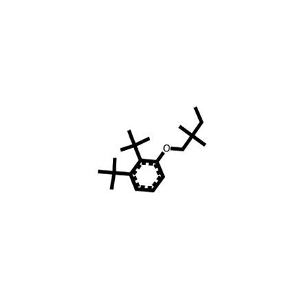 CCC(C)(C)COc1cccc(C(C)(C)C)c1C(C)(C)C